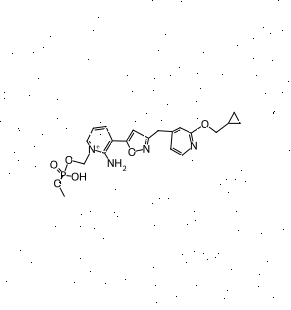 COP(=O)(O)OC[n+]1cccc(-c2cc(Cc3ccnc(OCC4CC4)c3)no2)c1N